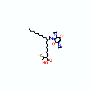 CCCCCCCC/C=C\CCCCCCC(C(=O)O)C(C)S.O=C1C=C(N2CC2)C(=O)C(N2CC2)=C1N1CC1